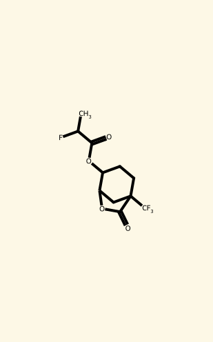 CC(F)C(=O)OC1CCC2(C(F)(F)F)CC1OC2=O